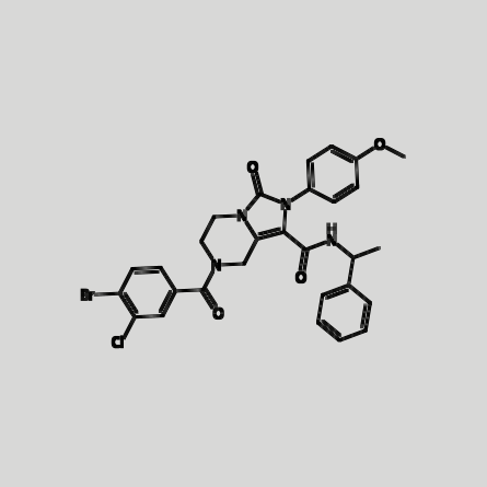 COc1ccc(-n2c(C(=O)NC(C)c3ccccc3)c3n(c2=O)CCN(C(=O)c2ccc(Br)c(Cl)c2)C3)cc1